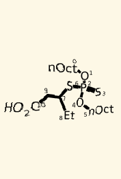 CCCCCCCCOP(=S)(OCCCCCCCC)SC(CC)CC(=O)O